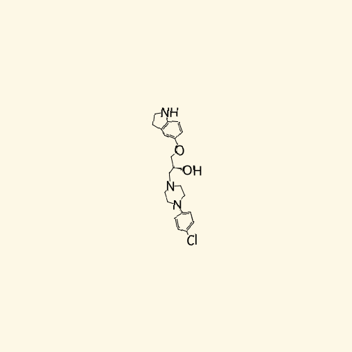 O[C@H](COc1ccc2c(c1)CCN2)CN1CCN(c2ccc(Cl)cc2)CC1